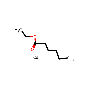 CCCCCC(=O)OCC.[Cd]